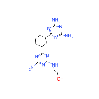 Nc1nc(N)nc(C2CCCC(c3nc(N)nc(NCCO)n3)C2)n1